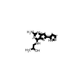 CC(O)CNc1nc(N)nc2cc(-c3ccn[nH]3)sc12